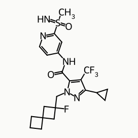 CS(=N)(=O)c1cc(NC(=O)c2c(C(F)(F)F)c(C3CC3)nn2CC2(F)CC3(CCC3)C2)ccn1